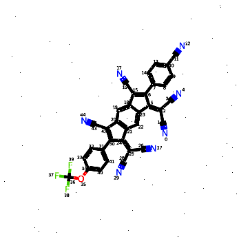 N#CC(C#N)=C1C(c2ccc(C#N)cc2)=C(C#N)c2cc3c(cc21)C(=C(C#N)C#N)C(c1ccc(OC(F)(F)F)cc1)=C3C#N